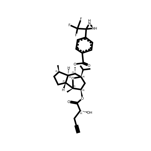 C#CC[C@@H](O)C(=O)O[C@@H]1C[C@]2(C(C)C)O[C@@]1(C)[C@@H]1CC[C@@H](C)[C@H]1[C@@H]2OC(=O)c1ccc(C2(C(F)(F)F)NN2)cc1